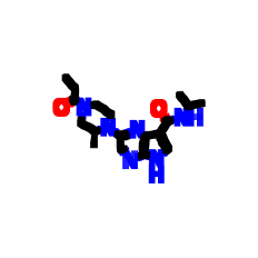 CCC(=O)N1CCN(c2cnc3[nH]cc(C(=O)NC(C)C)c3n2)[C@@H](C)C1